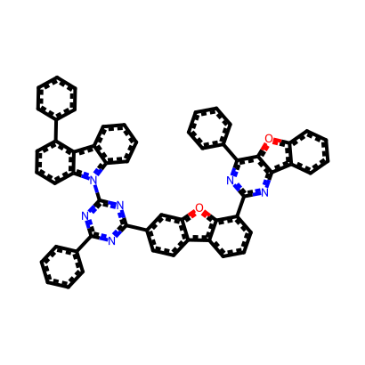 c1ccc(-c2nc(-c3ccc4c(c3)oc3c(-c5nc(-c6ccccc6)c6oc7ccccc7c6n5)cccc34)nc(-n3c4ccccc4c4c(-c5ccccc5)cccc43)n2)cc1